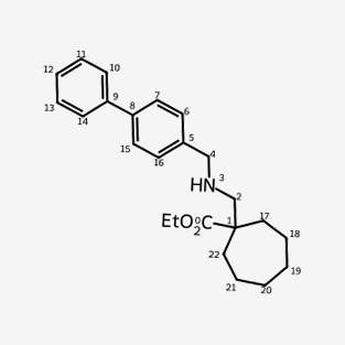 CCOC(=O)C1(CNCc2ccc(-c3ccccc3)cc2)CCCCCC1